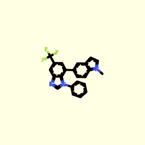 Cn1ccc2cc(-c3cc(C(F)(F)F)cc4ncn(-c5ccccc5)c34)ccc21